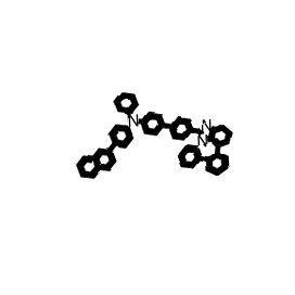 c1ccc(N(c2ccc(-c3ccc(-c4nc5cccc6c5n4-c4ccccc4-c4ccccc4-6)cc3)cc2)c2ccc(-c3ccc4ccccc4c3)cc2)cc1